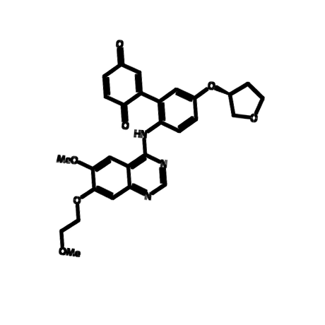 COCCOc1cc2ncnc(Nc3ccc(O[C@H]4CCOC4)cc3C3=CC(=O)C=CC3=O)c2cc1OC